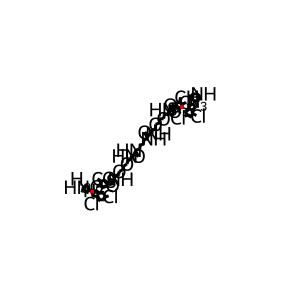 Cc1cc(S(=O)(=O)NCCOCCOCCNC(=O)NCCCCNC(=O)NCCOCCOCCNS(=O)(=O)c2ccc(O[C@H]3c4cc(Cl)cc(Cl)c4C[C@@H]3N3CCNCC3)c(C)c2)ccc1O[C@H]1c2cc(Cl)cc(Cl)c2C[C@@H]1N1CCNCC1